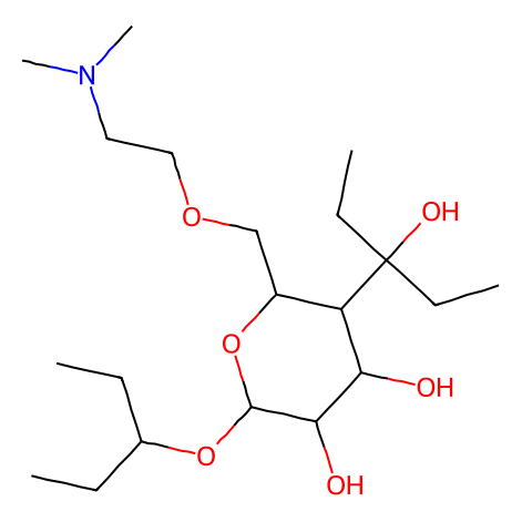 CCC(CC)OC1OC(COCCN(C)C)C(C(O)(CC)CC)C(O)C1O